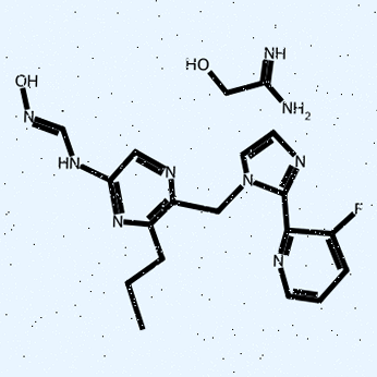 CCCc1nc(NC=NO)cnc1Cn1ccnc1-c1ncccc1F.N=C(N)CO